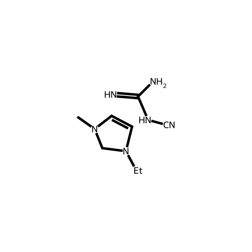 CCN1C=CN(C)C1.N#CNC(=N)N